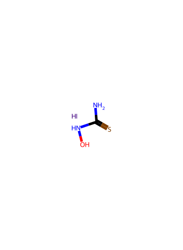 I.NC(=S)NO